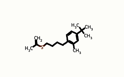 C=C(C)SCCCCc1ccc(C(C)(C)C)cc1C